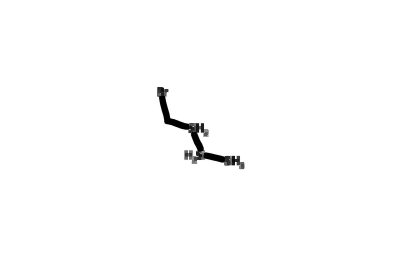 [SiH3][SiH2][SiH2]CBr